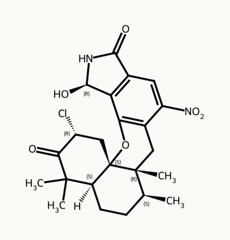 C[C@H]1CC[C@H]2C(C)(C)C(=O)[C@H](Cl)C[C@]23Oc2c(c([N+](=O)[O-])cc4c2[C@@H](O)NC4=O)C[C@]13C